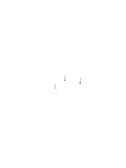 CC(=O)OC(=O)C(C)=NO